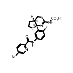 O=C(O)NC1=N[C@]2(c3cc(NC(=O)c4ccc(Br)cn4)ccc3F)OCC[C@@H]2CS1